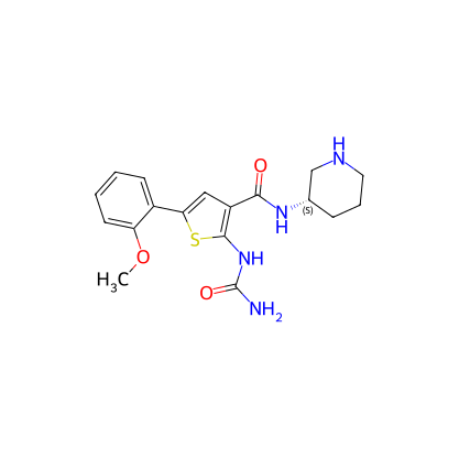 COc1ccccc1-c1cc(C(=O)N[C@H]2CCCNC2)c(NC(N)=O)s1